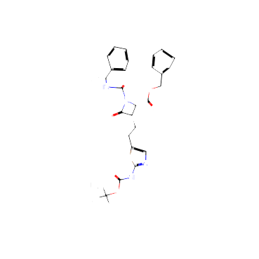 C[C@@H](NC(=O)N1C(=O)[C@H](CCc2cnc(NC(=O)OC(C)(C)C)s2)[C@H]1C(=O)OCc1ccccc1)c1ccccc1